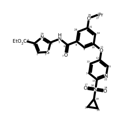 CCOC(=O)c1csc(NC(=O)c2cc(Oc3ccc(S(=O)(=O)C4CC4)nc3)cc(OC(C)C)c2)n1